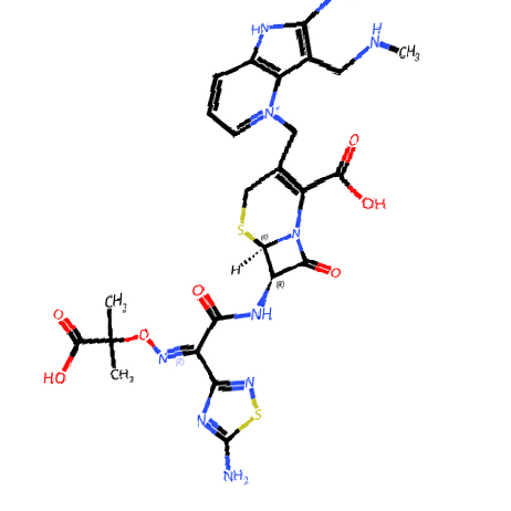 CNCc1c(N)[nH]c2ccc[n+](CC3=C(C(=O)O)N4C(=O)[C@@H](NC(=O)/C(=N\OC(C)(C)C(=O)O)c5nsc(N)n5)[C@H]4SC3)c12